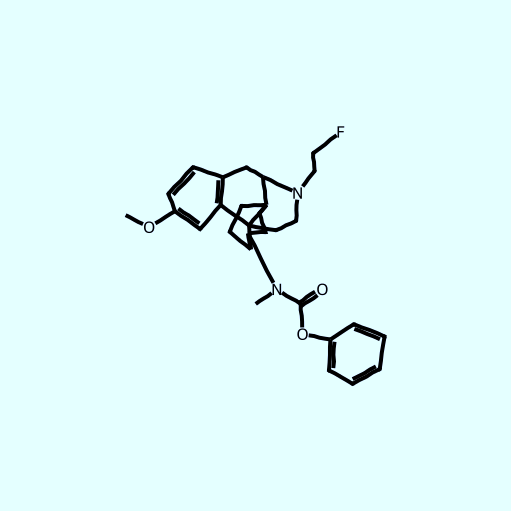 COc1ccc2c(c1)C13CCN(CCF)C(C2)C12CCC(N(C)C(=O)Oc1ccccc1)C3CC2